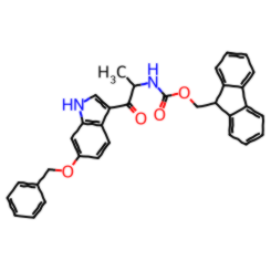 CC(NC(=O)OCC1c2ccccc2-c2ccccc21)C(=O)c1c[nH]c2cc(OCc3ccccc3)ccc12